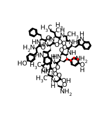 CC[C@H](C)[C@H](NC(=O)[C@H](Cc1c[nH]c2ccccc12)NC(=O)[C@H](Cc1ccccc1)NC(=O)[C@@H](N)Cc1ccc(O)cc1)C(=O)N[C@@H](C)C(=O)N[C@@H](Cc1c[nH]c2ccccc12)C(=O)N[C@@H](Cc1ccc(O)cc1)C(=O)N[C@@H](CCCCN)C(=O)N[C@@H](CC(C)C)C(=O)N[C@@H](C)C(=O)N[C@@H](CC(N)=O)C(=O)O